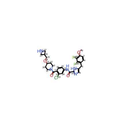 COc1ccc(Cc2cnc(C(=O)Nc3ccc(C(=O)N4CCC(OCC5CNC5)CC4)c(Cl)c3)[nH]2)c(F)c1F